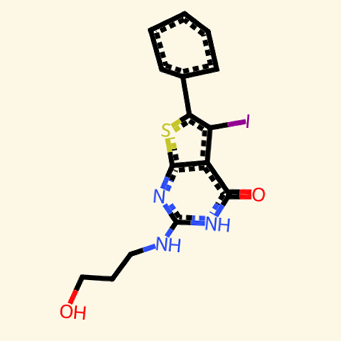 O=c1[nH]c(NCCCO)nc2sc(-c3ccccc3)c(I)c12